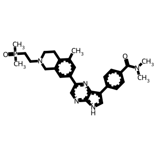 Cc1cc(-c2cnc3[nH]cc(-c4ccc(C(=O)N(C)C)cc4)c3n2)cc2c1CCN(CCP(C)(C)=O)C2